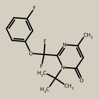 Cc1cc(=O)n(C(C)(C)C)c(C(F)(F)Oc2cccc(F)c2)n1